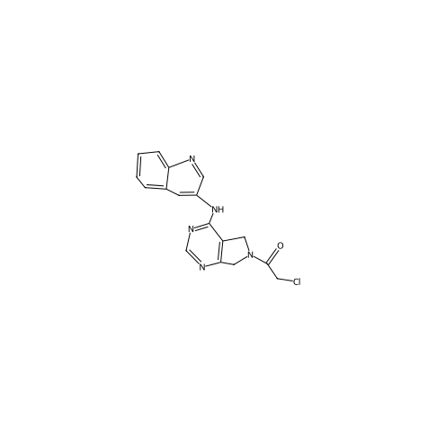 O=C(CCl)N1Cc2ncnc(Nc3cnc4ccccc4c3)c2C1